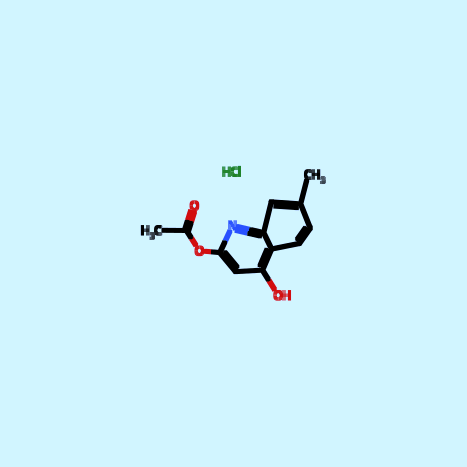 CC(=O)Oc1cc(O)c2ccc(C)cc2n1.Cl